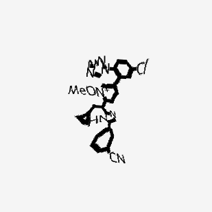 CO[n+]1cc(-c2cc(Cl)ccc2-n2cnnn2)ccc1C(CC1CC1)c1ncc(-c2cccc(C#N)c2)[nH]1